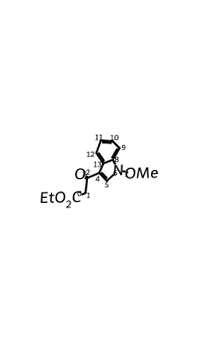 CCOC(=O)CC(=O)c1cn(OC)c2ccccc12